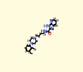 Cc1cccc(N2CCN(CCCCNC(=O)c3nc4cccnc4[nH]3)CC2)c1C